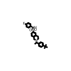 CC(c1ccc(C(C)(C)C)cc1)N1CCc2cc(S(=O)(=O)Nc3ccc(F)cc3)ccc2C1